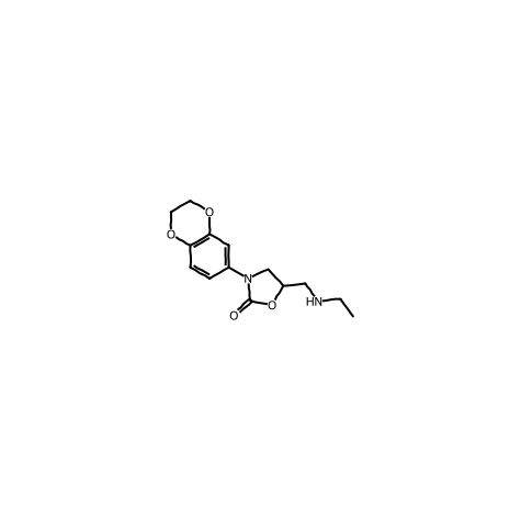 CCNCC1CN(c2ccc3c(c2)OCCO3)C(=O)O1